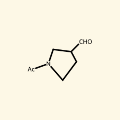 CC(=O)N1CCC(C=O)C1